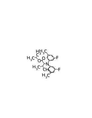 Cc1cc(F)cc(N(c2cc(C)cc(F)c2)C(C(=O)OC(C)C)C(C)C)c1